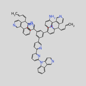 C=C/C=C\C(c1ccc(-c2cc(-c3ccc(-c4cccc(-n5c6ccccc6c6cnccc65)n4)nc3)cc(-c3ccc(C(/C=C\C=C)c4ccncc4-c4ccccc4N)nc3)c2)cn1)c1ccncc1-c1ccccc1N